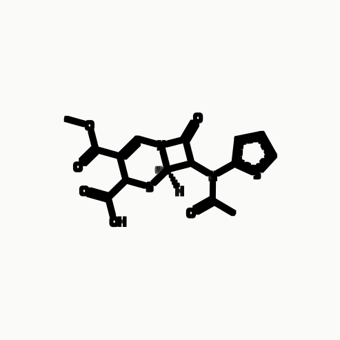 COC(=O)C1=CN2C(=O)C(N(C(C)=O)c3cccs3)[C@H]2SC1C(=O)O